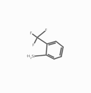 FC(F)(F)c1ccccc1[SiH2]